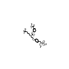 CCOC(Cc1ccc(OCCN(CCCCC(C)(F)F)C(=O)Oc2cccc(C(F)(F)F)c2)cc1)C(=O)O